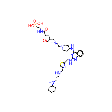 O=CC(CCC(=O)NCCP(=O)(O)O)CNCCN1CCC(Nc2nc(NCc3nc(CNCCCNC4CCCCC4)cs3)nc3ccccc23)CC1